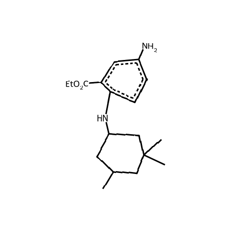 CCOC(=O)c1cc(N)ccc1NC1CC(C)CC(C)(C)C1